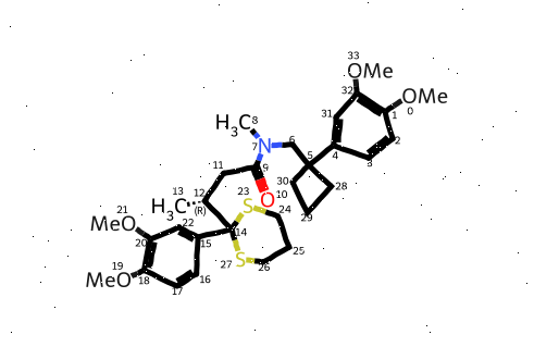 COc1ccc(C2(CN(C)C(=O)C[C@@H](C)C3(c4ccc(OC)c(OC)c4)SCCCS3)CCC2)cc1OC